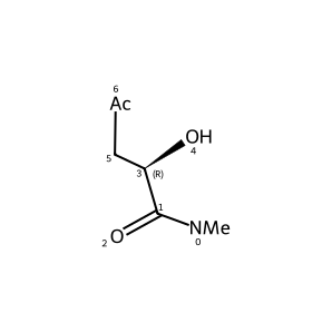 CNC(=O)[C@H](O)CC(C)=O